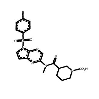 Cc1ccc(S(=O)(=O)n2ccc3nc(N(C)C(=S)C4CCCN(C(=O)O)C4)cnc32)cc1